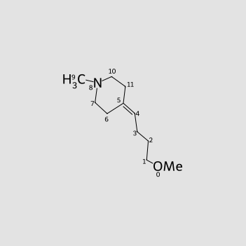 COCCCC=C1CCN(C)CC1